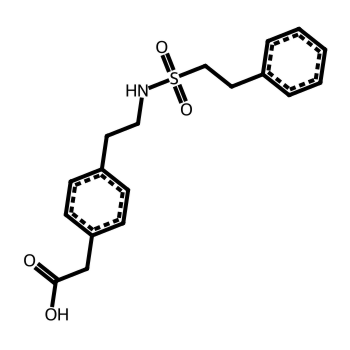 O=C(O)Cc1ccc(CCNS(=O)(=O)CCc2ccccc2)cc1